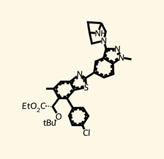 CCOC(=O)[C@@H](OC(C)(C)C)c1c(C)cc2nc(-c3ccc4c(c3)c(N3CC5CC(C3)N5)nn4C)sc2c1-c1ccc(Cl)cc1